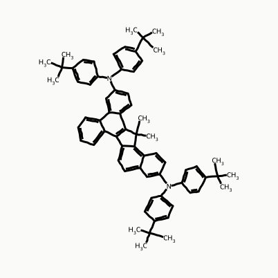 CC(C)(C)c1ccc(N(c2ccc(C(C)(C)C)cc2)c2ccc3c4c(ccc3c2)-c2c(c3ccc(N(c5ccc(C(C)(C)C)cc5)c5ccc(C(C)(C)C)cc5)cc3c3ccccc23)C4(C)C)cc1